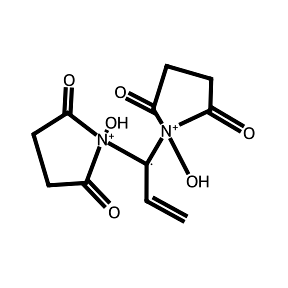 C=C[C]([N+]1(O)C(=O)CCC1=O)[N+]1(O)C(=O)CCC1=O